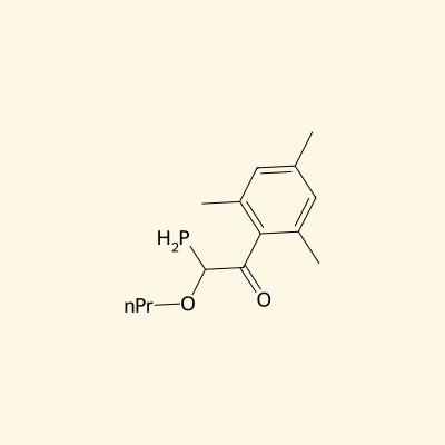 [CH2]CCOC(P)C(=O)c1c(C)cc(C)cc1C